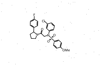 COc1ccc(S(=O)(=O)N(CC(=O)N2CCCC2c2ccc(F)cc2)c2cccc(Cl)c2)cc1